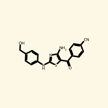 N#Cc1ccc(C(=O)c2sc(Nc3ccc(CO)cc3)nc2N)cc1